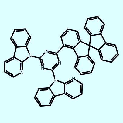 c1ccc2c(c1)-c1ccccc1C21c2ccccc2-c2c(-c3nc(-n4c5ccccc5c5cccnc54)nc(-n4c5ccccc5c5cccnc54)n3)cccc21